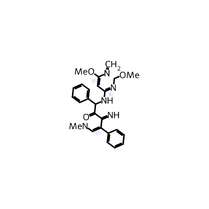 C=N/C(=C\C(=N/COC)NC(C(=O)C(=N)/C(=C\NC)c1ccccc1)c1ccccc1)OC